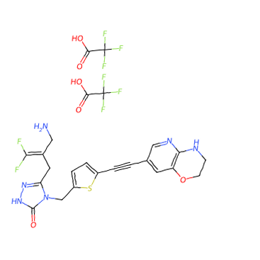 NCC(Cc1n[nH]c(=O)n1Cc1ccc(C#Cc2cnc3c(c2)OCCN3)s1)=C(F)F.O=C(O)C(F)(F)F.O=C(O)C(F)(F)F